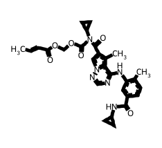 C/C=C/C(=O)OCOC(=O)N(C(=O)c1cn2ncnc(Nc3cc(C(=O)NC4CC4)ccc3C)c2c1C)C1CC1